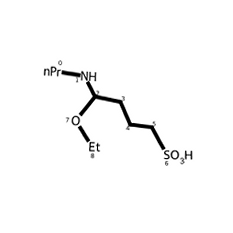 CCCNC(CCCS(=O)(=O)O)OCC